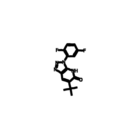 CC(C)(C)c1cc2nnn(-c3cc(F)ccc3F)c2[nH]c1=O